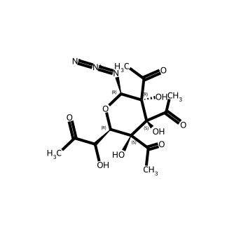 CC(=O)C(O)[C@H]1O[C@@H](N=[N+]=[N-])[C@@](O)(C(C)=O)[C@](O)(C(C)=O)[C@]1(O)C(C)=O